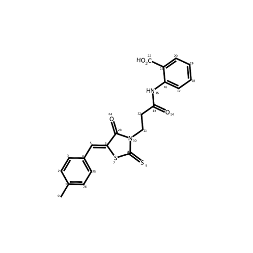 Cc1ccc(/C=C2\SC(=S)N(CCC(=O)Nc3ccccc3C(=O)O)C2=O)cc1